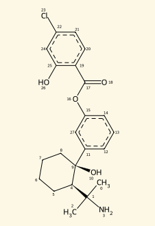 CC(C)(N)[C@H]1CCCC[C@]1(O)c1cccc(OC(=O)c2ccc(Cl)cc2O)c1